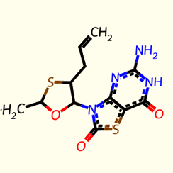 [CH2]C1OC(n2c(=O)sc3c(=O)[nH]c(N)nc32)C(CC=C)S1